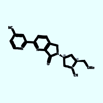 COC[C@@H]1C[C@@H](N2Cc3ccc(-c4cc(C#N)ccn4)nc3C2=O)CN1C#N